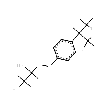 CC(C)(O)C(C)(C)OBc1ccc(C(O)(C(F)(F)F)C(F)(F)F)cc1